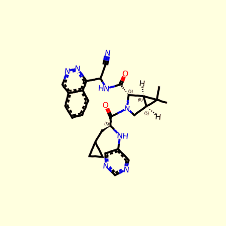 CC1(C)[C@@H]2[C@@H](C(=O)NC(C#N)c3nncc4ccccc34)N(C(=O)[C@H](CC3CC3)Nc3cncnc3)C[C@@H]21